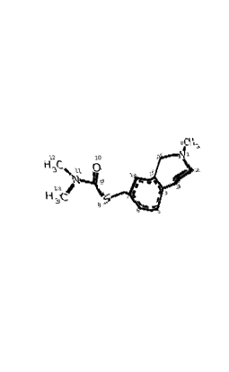 CN1C=Cc2ccc(SC(=O)N(C)C)cc2C1